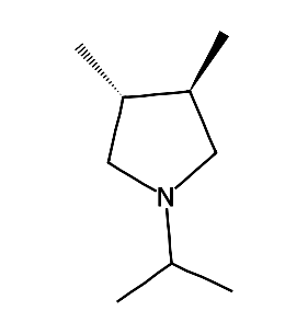 CC(C)N1C[C@H](C)[C@@H](C)C1